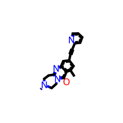 Cc1cc(C#Cc2ccccn2)cc2nc3n(c(=O)c12)CCN(C)CC3